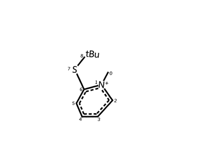 C[n+]1ccccc1SC(C)(C)C